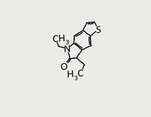 CCC1C(=O)N(CC)c2cc3ccsc3cc21